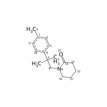 Cc1ccc(C(C)(C)CN2CCCCC2=O)cc1